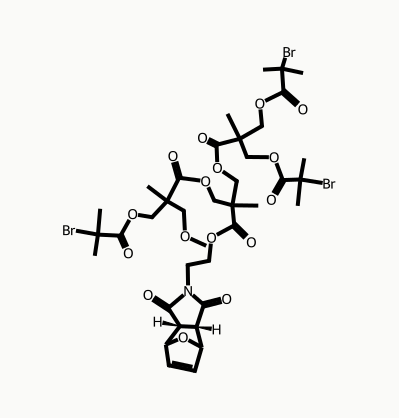 COCC(C)(COC(=O)C(C)(C)Br)C(=O)OCC(C)(COC(=O)C(C)(COC(=O)C(C)(C)Br)COC(=O)C(C)(C)Br)C(=O)OCCN1C(=O)[C@@H]2C3C=CC(O3)[C@@H]2C1=O